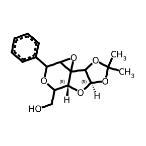 CC1(C)OC2[C@H](O[C@@H]3C(CO)OC(c4ccccc4)C4OC423)O1